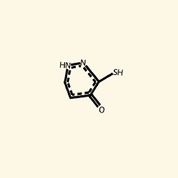 O=c1cc[nH]nc1S